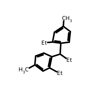 CCc1cc(C)ccc1C(CC)c1ccc(C)cc1CC